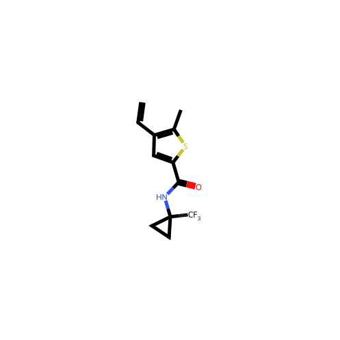 C=Cc1cc(C(=O)NC2(C(F)(F)F)CC2)sc1C